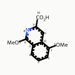 COc1cccc2c(OC)nc(C(=O)O)cc12